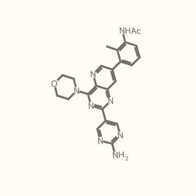 CC(=O)Nc1cccc(-c2cnc3c(N4CCOCC4)nc(-c4cnc(N)nc4)nc3c2)c1C